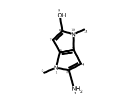 Cn1c(N)cc2c1cc(O)n2C